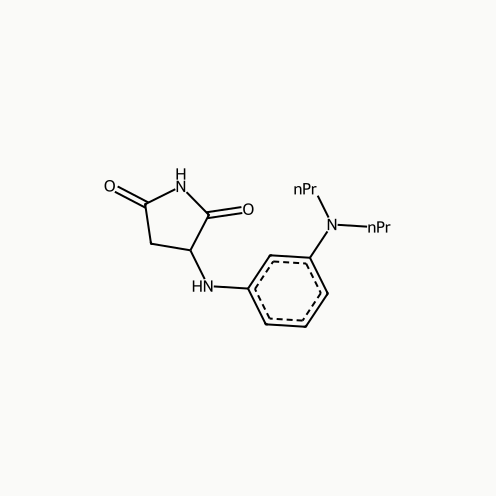 CCCN(CCC)c1cccc(NC2CC(=O)NC2=O)c1